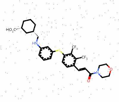 O=C(O)[C@@H]1CCC[C@H](CNc2cccc(Sc3ccc(/C=C/C(=O)N4CCOCC4)c(C(F)(F)F)c3C(F)(F)F)c2)C1